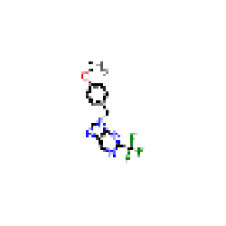 COc1ccc(Cn2cnc3cnc(C(F)(F)F)nc32)cc1